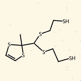 CC1(C(SCCS)SCCS)SC=CS1